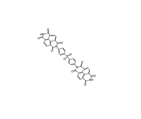 O=C1NC(=O)c2ccc3c4c(ccc1c24)C(=O)N(c1ccc(S(=O)(=O)c2ccc(N4C(=O)c5ccc6c7c(ccc(c57)C4=O)C(=O)NC6=O)cc2)cc1)C3=O